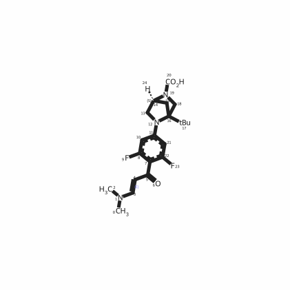 CN(C)/C=C/C(=O)c1c(F)cc(N2C[C@@H]3CC2(C(C)(C)C)CN3C(=O)O)cc1F